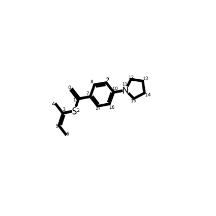 C=C(S/C(C)=C\C)c1ccc(N2CCCC2)cc1